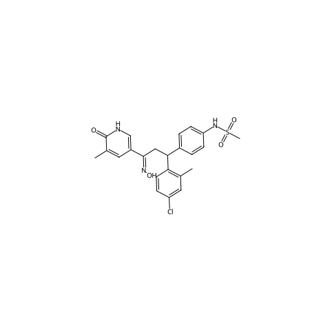 Cc1cc(Cl)ccc1C(C/C(=N\O)c1c[nH]c(=O)c(C)c1)c1ccc(NS(C)(=O)=O)cc1